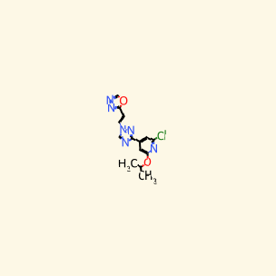 CC(C)Oc1cc(-c2ncn(C=Cc3nnco3)n2)cc(Cl)n1